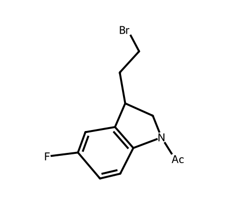 CC(=O)N1CC(CCBr)c2cc(F)ccc21